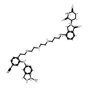 N#Cc1ccc(CCOCCOCCOCCCNc2cccc3c2CN(C2CCC(=O)NC2=O)C3=O)c(Oc2ccc3c(c2)COB3O)c1